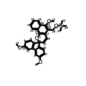 COc1ccc(C2(c3ccc(OC)cc3)C=Cc3c(CO[Si](C)(C)C)c(OC)c4ccccc4c3O2)cc1